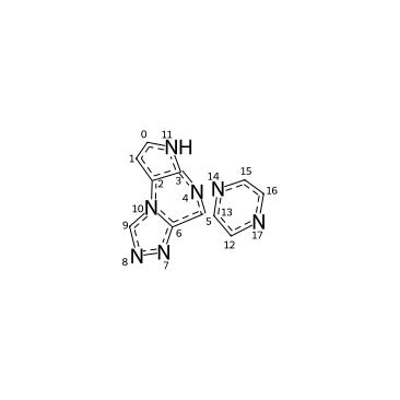 c1cc2c(ncc3nncn32)[nH]1.c1cnccn1